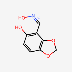 O/N=C\c1c(O)ccc2c1OCO2